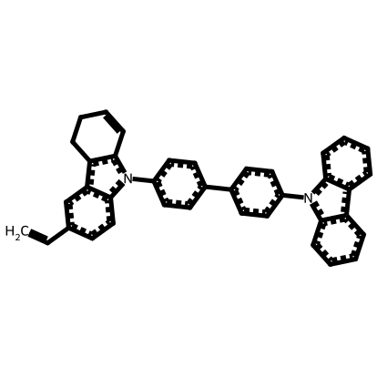 C=Cc1ccc2c(c1)c1c(n2-c2ccc(-c3ccc(-n4c5ccccc5c5ccccc54)cc3)cc2)C=CCC1